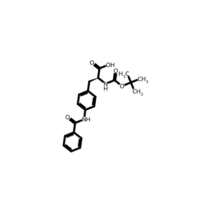 CC(C)(C)OC(=O)N[C@@H](Cc1ccc(NC(=O)c2ccccc2)cc1)C(=O)O